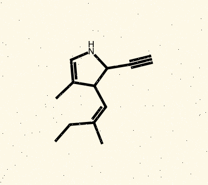 C#CC1NC=C(C)C1/C=C(/C)CC